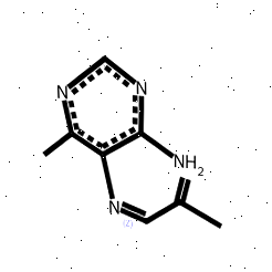 C=C(C)/C=N\c1c(C)ncnc1N